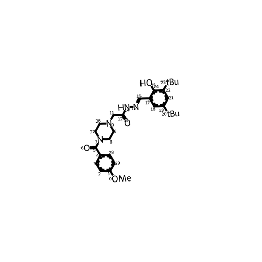 COc1ccc(C(=O)N2CCN(CC(=O)N/N=C/c3cc(C(C)(C)C)cc(C(C)(C)C)c3O)CC2)cc1